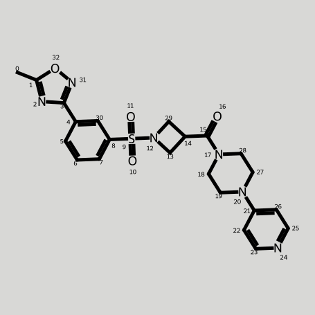 Cc1nc(-c2cccc(S(=O)(=O)N3CC(C(=O)N4CCN(c5ccncc5)CC4)C3)c2)no1